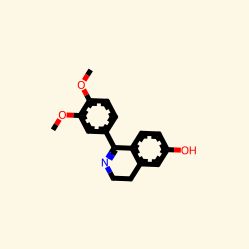 COc1ccc(C2=NCCc3cc(O)ccc32)cc1OC